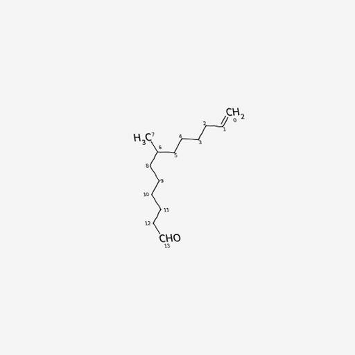 C=CCCCCC(C)CCCCCC=O